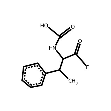 CC(c1ccccc1)C(NC(=O)O)C(=O)F